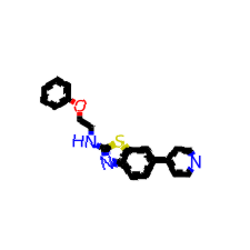 c1ccc(OCCNc2nc3ccc(-c4ccncc4)cc3s2)cc1